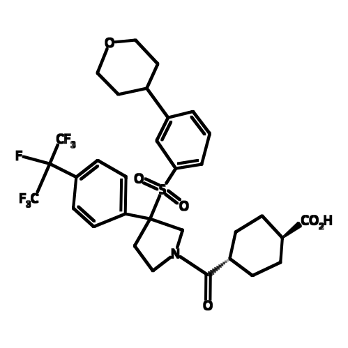 O=C(O)[C@H]1CC[C@H](C(=O)N2CCC(c3ccc(C(F)(C(F)(F)F)C(F)(F)F)cc3)(S(=O)(=O)c3cccc(C4CCOCC4)c3)C2)CC1